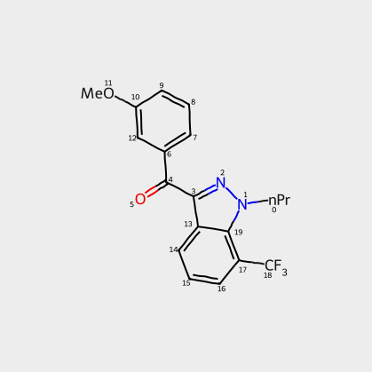 CCCn1nc(C(=O)c2cccc(OC)c2)c2cccc(C(F)(F)F)c21